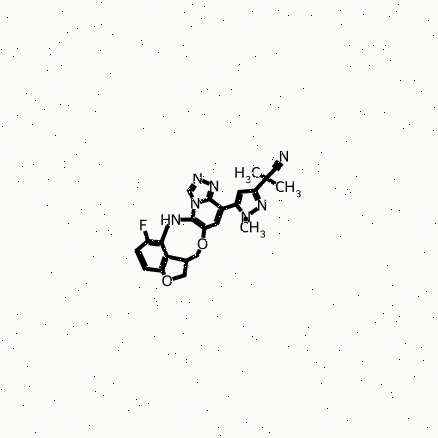 Cn1nc(C(C)(C)C#N)cc1-c1cc2c(n3cnnc13)NCc1c(F)ccc3c1C(CO3)CO2